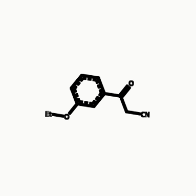 CCOc1cccc(C(=O)CC#N)c1